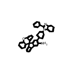 Nc1cc2c(cc1-c1ccc(-n3c(-c4ccccc4)nc4ccccc43)cc1)C1(c3ccccc3Oc3ccccc31)c1ccccc1-2